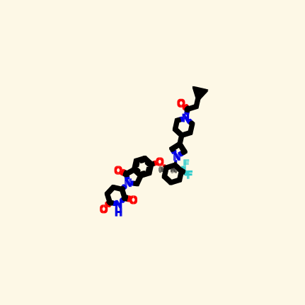 O=C1CCC(N2Cc3cc(O[C@H]4CCCC(F)(F)[C@H]4N4CC(C5CCN(C(=O)CC6CC6)CC5)C4)ccc3C2=O)C(=O)N1